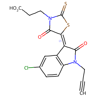 C#CCN1C(=O)/C(=C2\SC(=S)N(CCC(=O)O)C2=O)c2cc(Cl)ccc21